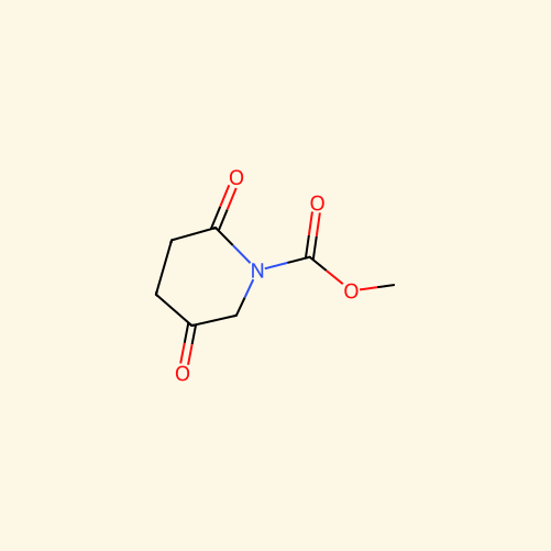 COC(=O)N1CC(=O)CCC1=O